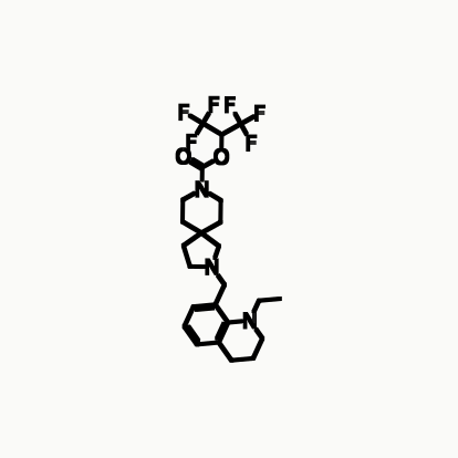 CCN1CCCc2cccc(CN3CCC4(CCN(C(=O)OC(C(F)(F)F)C(F)(F)F)CC4)C3)c21